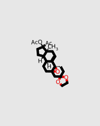 CC(=O)O[C@]1(C(C)=O)CC[C@H]2[C@@H]3CCC45CC6(CC[C@@]4(O5)C3=CC[C@@]21C)OCCO6